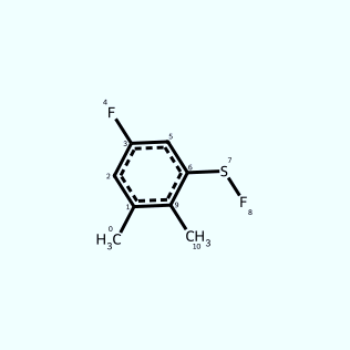 Cc1cc(F)cc(SF)c1C